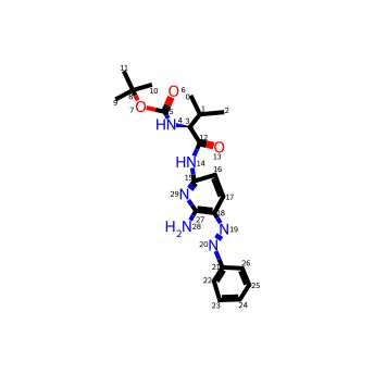 CC(C)[C@H](NC(=O)OC(C)(C)C)C(=O)Nc1ccc(/N=N/c2ccccc2)c(N)n1